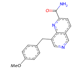 COc1ccc(Cc2cncc3ccc(C(N)=O)nc23)cc1